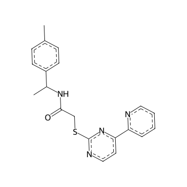 Cc1ccc(C(C)NC(=O)CSc2nccc(-c3ccccn3)n2)cc1